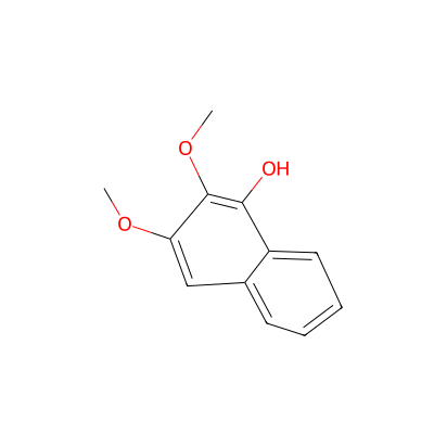 COc1cc2ccccc2c(O)c1OC